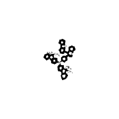 CC1(C)C2=C(CCC=C2)c2ccc(N(c3ccc(-c4ccc5ccccc5c4-c4cccc5c4oc4ccccc45)cc3)c3ccc4c(c3)C(C)(C)c3ccccc3-4)cc21